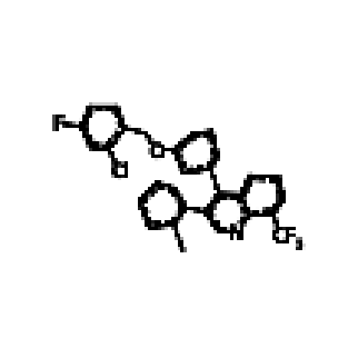 Cc1ccccc1-c1cnc2c(C(F)(F)F)cccc2c1-c1cccc(OCc2ccc(F)cc2Cl)c1